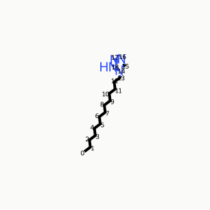 CCCCCCCCCCCCCCN1CN=NN1